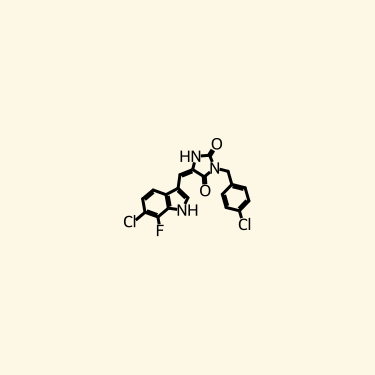 O=C1NC(=Cc2c[nH]c3c(F)c(Cl)ccc23)C(=O)N1Cc1ccc(Cl)cc1